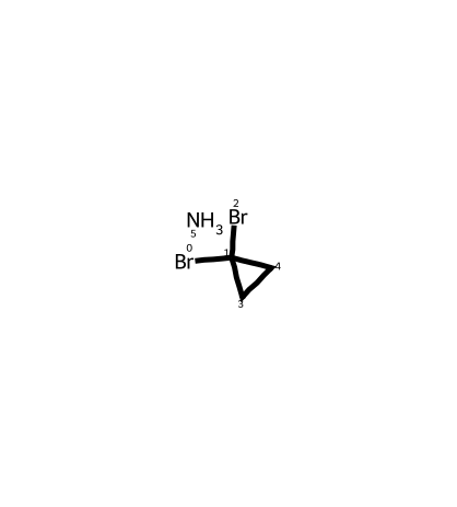 BrC1(Br)CC1.N